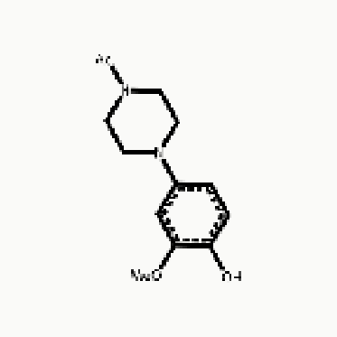 COc1cc(N2CCN(C(C)=O)CC2)ccc1O